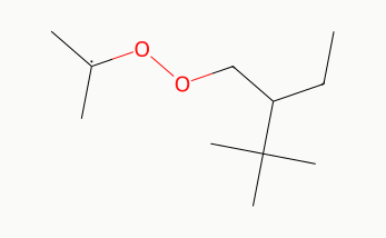 CCC(COO[C](C)C)C(C)(C)C